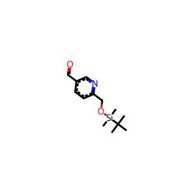 CC(C)(C)[Si](C)(C)OCc1ccc(C=O)cn1